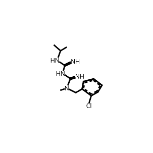 CC(C)NC(=N)NC(=N)N(C)Cc1ccccc1Cl